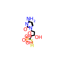 Nc1ccn([C@H]2C[C@H](O)[C@@H](C(S)P(=O)(O)O)O2)c(=O)n1